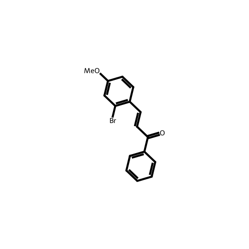 COc1ccc(C=CC(=O)c2ccccc2)c(Br)c1